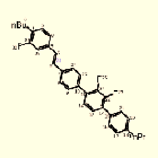 CCCCc1ccc(/C=C/c2ccc(-c3ccc(-c4ccc(CCC)cc4)c(F)c3F)cc2)cc1F